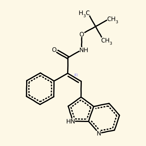 CC(C)(C)ONC(=O)/C(=C/c1c[nH]c2ncccc12)c1ccccc1